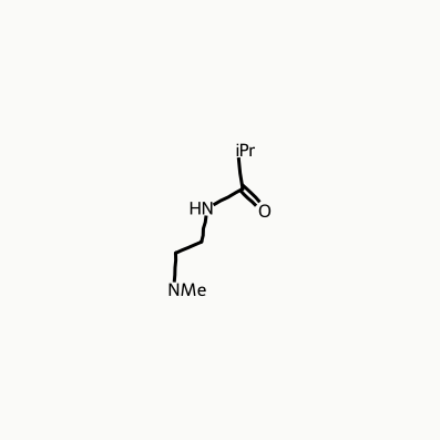 CNCCNC(=O)C(C)C